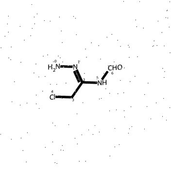 NN=C(CCl)NC=O